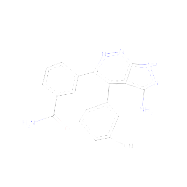 N#Cc1cccc(-c2c(-c3cccc(C(N)=O)c3)nnc3[nH]nc(N)c23)c1